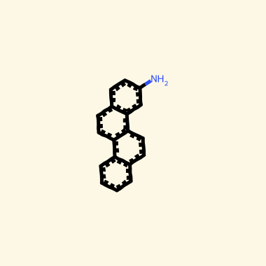 Nc1ccc2ccc3c4ccccc4ccc3c2c1